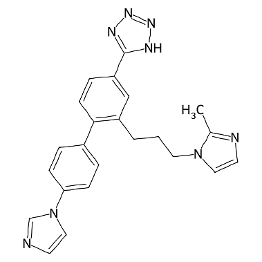 Cc1nccn1CCCc1cc(-c2nnn[nH]2)ccc1-c1ccc(-n2ccnc2)cc1